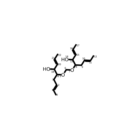 CC=CCC(OCOC(CC=CC)C(O)C=CC)C(O)C=CC